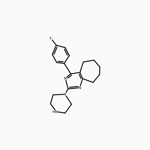 Fc1ccc(-c2nc(N3CCNCC3)nc3c2CCCCC3)cc1